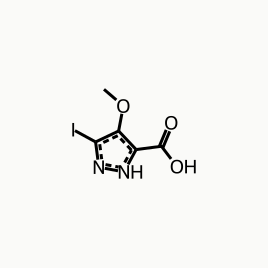 COc1c(I)n[nH]c1C(=O)O